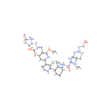 COc1nc(-c2ccnc(-c3cccc(NC(=O)c4nc5c(n4C)CCN(CCO)C5)c3C)c2Cl)ccc1CN(C[C@@H]1CCC(=O)N1)C(=O)O